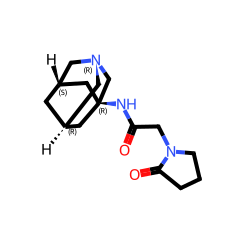 O=C(CN1CCCC1=O)N[C@@]12C[C@@H]3C[C@@H](C[N@](C3)C1)C2